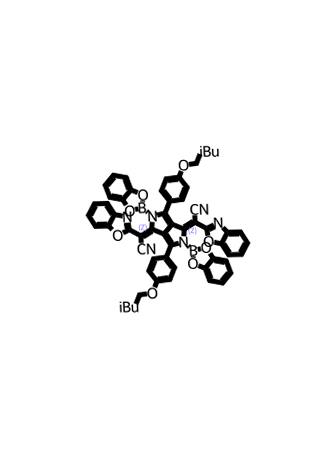 CCC(C)COc1ccc(-c2c3/c(=C(\C#N)c4nc5ccccc5o4)n(B4Oc5ccccc5O4)c(-c4ccc(OCC(C)CC)cc4)c3/c(=C(\C#N)c3nc4ccccc4o3)n2B2Oc3ccccc3O2)cc1